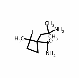 CC(C)(N)CC1(C(N)=O)CCC1(C)I